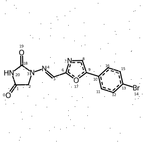 O=C1CN(N=Cc2ncc(-c3ccc(Br)cc3)o2)C(=O)N1